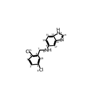 Clc1ccc(Cl)c(CNc2ccc3[nH]cnc3c2)c1